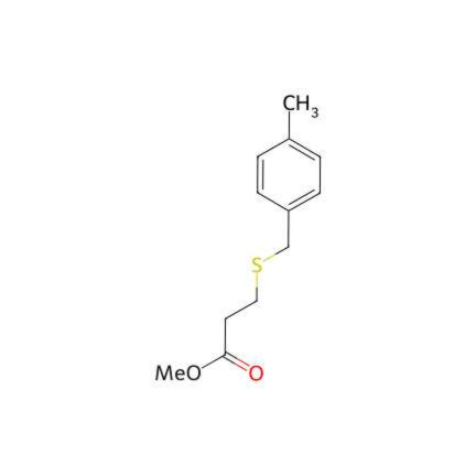 COC(=O)CCSCc1ccc(C)cc1